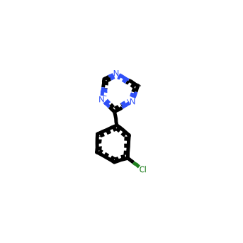 Clc1cccc(-c2n[c]ncn2)c1